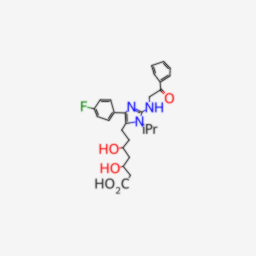 CC(C)n1c(NCC(=O)c2ccccc2)nc(-c2ccc(F)cc2)c1CCC(O)CC(O)CC(=O)O